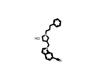 Cl.N#Cc1ccc2ccn(CC3CCN(CCCc4ccccc4)C3)c2c1